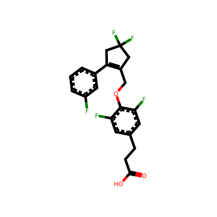 O=C(O)CCc1cc(F)c(OCC2=C(c3cccc(F)c3)CC(F)(F)C2)c(F)c1